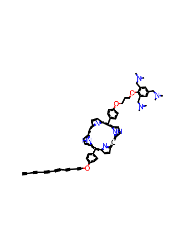 C#CC#CC#CC#CC#CC#COc1ccc(-c2c3nc(cc4ccc([nH]4)c(-c4ccc(OCCCOc5c(CN(C)C)cc(CN(C)C)cc5CN(C)C)cc4)c4nc(cc5ccc2[nH]5)C=C4)C=C3)cc1